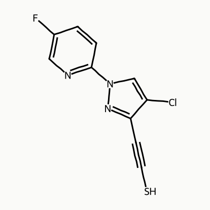 Fc1ccc(-n2cc(Cl)c(C#CS)n2)nc1